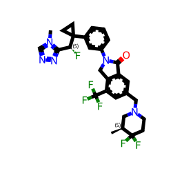 C[C@H]1CN(Cc2cc3c(c(C(F)(F)F)c2)CN(c2cccc(C4([C@H](F)c5nncn5C)CC4)c2)C3=O)CCC1(F)F